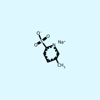 Cc1ccc(S(=O)(=O)[O-])nc1.[Na+]